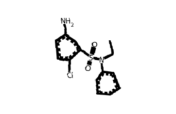 CCN(c1ccccc1)S(=O)(=O)c1cc(N)ccc1Cl